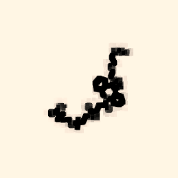 CNCCOCCn1nnc2c1-c1ccccc1CN(C(=O)CCC(=O)NCCC(C)(C)OCCC(C)(C)C(=O)C(C)C)c1ccccc1-2